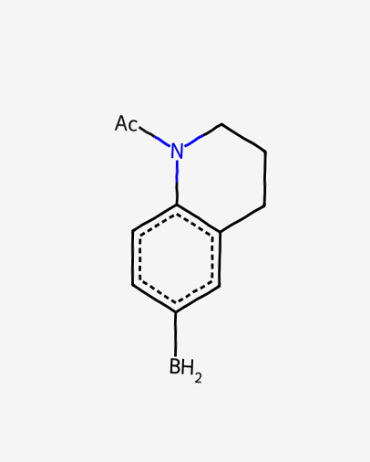 Bc1ccc2c(c1)CCCN2C(C)=O